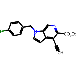 C#Cc1c(C(=O)OCC)ncc2c1ccn2Cc1ccc(F)cc1